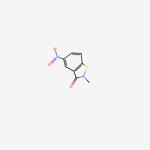 Cn1sc2ccc([N+](=O)[O-])cc2c1=O